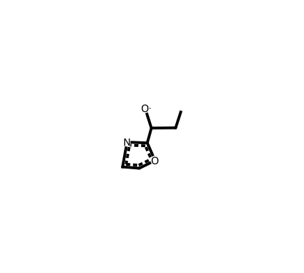 CCC([O])c1ncco1